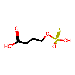 O=C(O)CCCOS(=O)(O)=S